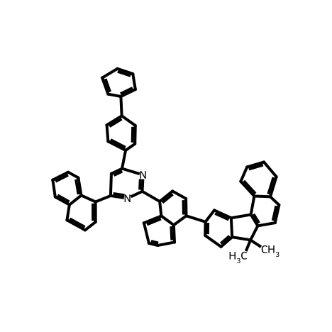 CC1(C)c2ccc(-c3ccc(-c4nc(-c5ccc(-c6ccccc6)cc5)cc(-c5cccc6ccccc56)n4)c4ccccc34)cc2-c2c1ccc1ccccc21